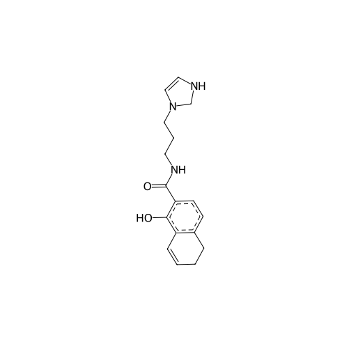 O=C(NCCCN1C=CNC1)c1ccc2c(c1O)C=CCC2